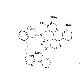 COc1cccc(-c2ncc3snc(O[C@H](Cc4ccccc4OCc4ccnc(-c5ccccc5OC)n4)C(=O)O)c3c2-c2ccc(OC)c(Cl)c2C)c1